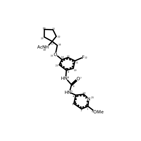 COc1ccc(NC(=O)Nc2cc(F)cc(OCC3(NC(C)=O)CCCC3)c2)cn1